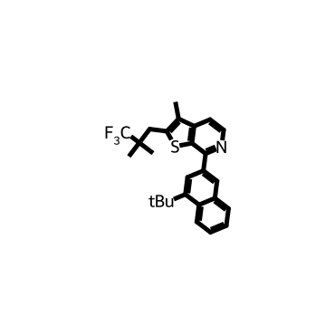 Cc1c(CC(C)(C)C(F)(F)F)sc2c(-c3cc(C(C)(C)C)c4ccccc4c3)nccc12